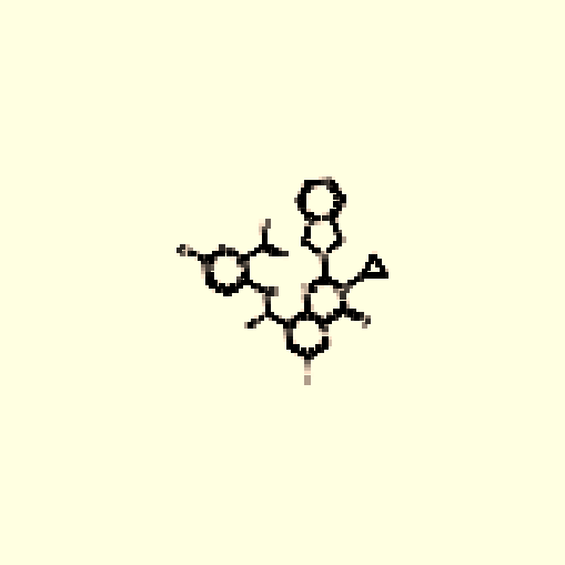 C[C@@H](Nc1ccc(Cl)nc1C(=O)O)c1cc(F)cc2c(=O)n(C3CC3)c(N3Cc4ccccc4C3)nc12